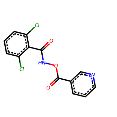 O=C(ONC(=O)c1c(Cl)cccc1Cl)c1cccnc1